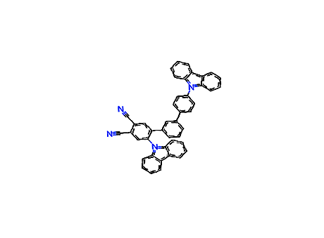 N#Cc1cc(-c2cccc(-c3ccc(-n4c5ccccc5c5ccccc54)cc3)c2)c(-n2c3ccccc3c3ccccc32)cc1C#N